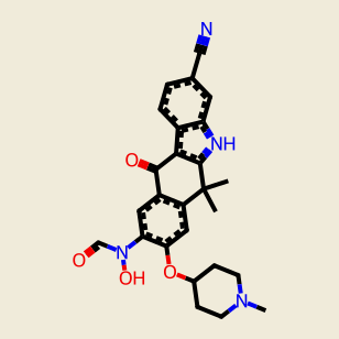 CN1CCC(Oc2cc3c(cc2N(O)C=O)C(=O)c2c([nH]c4cc(C#N)ccc24)C3(C)C)CC1